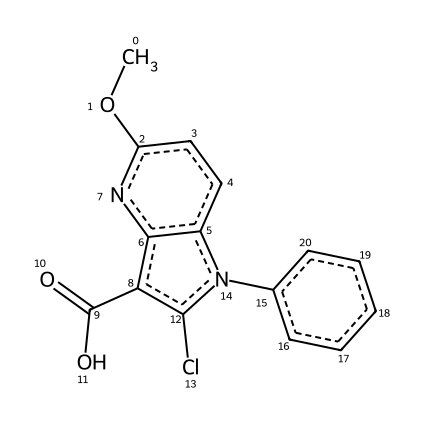 COc1ccc2c(n1)c(C(=O)O)c(Cl)n2-c1ccccc1